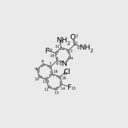 NC(=O)c1cnc(-c2cccc3ccc(F)c(Cl)c23)c(F)c1N